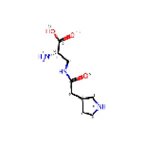 N[C@@H](CNC(=O)CC1CCNC1)C(=O)O